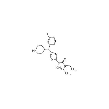 CCN(CC)C(=O)N(C)c1ccc(C(=C2CCNCC2)c2cccc(F)c2)cc1